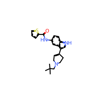 CC(C)(C)CN1CC=C(c2c[nH]c3ccc(NC(=O)c4cccs4)cc23)CC1